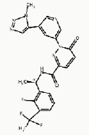 C[C@@H](NC(=O)c1ccc(=O)n(-c2cncc(-c3cnnn3C)c2)n1)c1cccc(C(C)(F)F)c1F